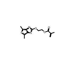 C=C(C)C(=O)OCCOc1nc2c(C)sc(C)c2s1